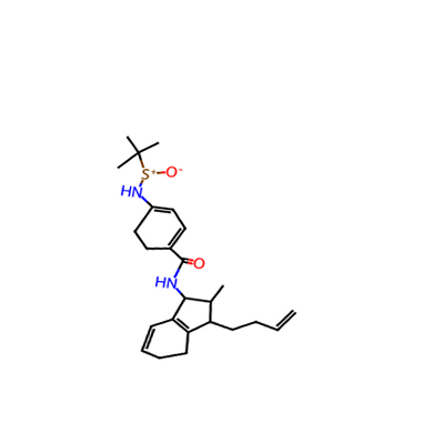 C=CCCC1C2=C(C=CCC2)C(NC(=O)C2=CC=C(N[S+]([O-])C(C)(C)C)CC2)C1C